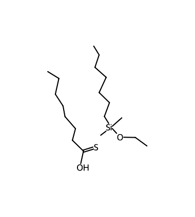 CCCCCCCC(O)=S.CCCCCCC[Si](C)(C)OCC